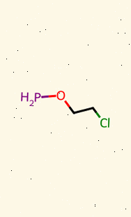 POCCCl